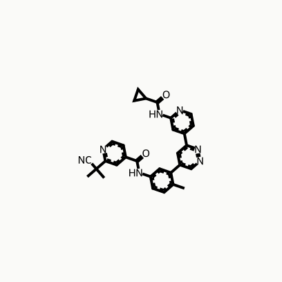 Cc1ccc(NC(=O)c2ccnc(C(C)(C)C#N)c2)cc1-c1cnnc(-c2ccnc(NC(=O)C3CC3)c2)c1